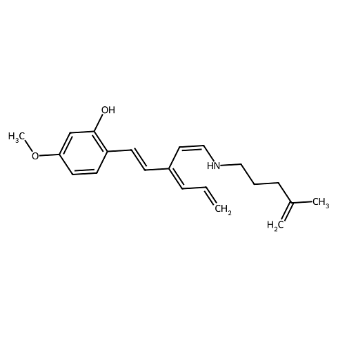 C=C/C=C(\C=C/NCCCC(=C)C)/C=C/c1ccc(OC)cc1O